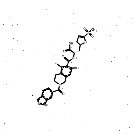 CS(=O)(=O)C1=CCC(C[C@H](NC(=O)c2c(Cl)cc3c(c2Cl)CCN(C(=O)c2ccc4cn[nH]c4c2)C3)C(=O)O)O1